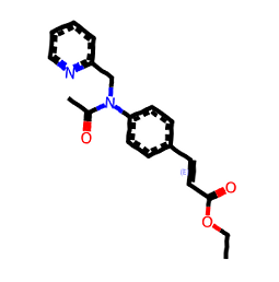 CCOC(=O)/C=C/c1ccc(N(Cc2ccccn2)C(C)=O)cc1